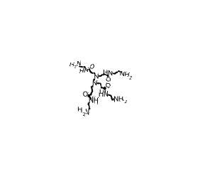 NCCNC(=O)CCN(CCC(=O)NCCN)CN(CCC(=O)NCCN)CCC(=O)NCCN